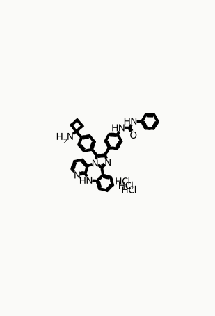 Cl.Cl.Cl.NC1(c2ccc(-c3c(-c4ccc(NC(=O)Nc5ccccc5)cc4)nc4n3-c3cccnc3Nc3ccccc3-4)cc2)CCC1